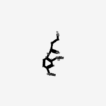 COc1ccc(OC(=O)CCCl)c(OC)c1